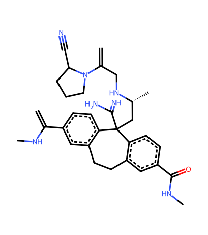 C=C(NC)c1ccc2c(c1)CCc1cc(C(=O)NC)ccc1C2(C[C@@H](C)NCC(=C)N1CCCC1C#N)C(=N)N